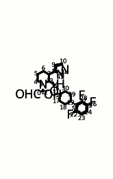 O=CC(O)N1CCCC(c2ccn[nH]2)C1CO[C@H]1CC[C@@H](c2c(F)ccc(F)c2F)CC1